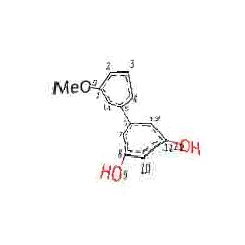 COc1cccc(-c2cc(O)cc(O)c2)c1